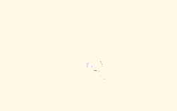 CC(C)(CCC(=O)O)SSC1C=CC([N+](=O)[O-])=CN1